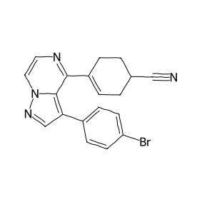 N#CC1CC=C(c2nccn3ncc(-c4ccc(Br)cc4)c23)CC1